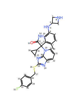 Cc1ccc(NC2CNC2)cc1C(C(N)=O)(C1CC1)n1cccc2nc(SCc3ccc(F)cc3)nc1-2